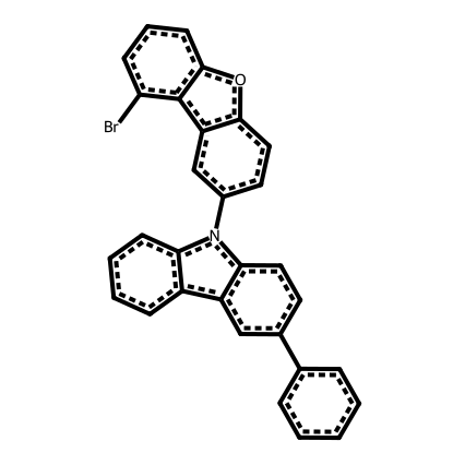 Brc1cccc2oc3ccc(-n4c5ccccc5c5cc(-c6ccccc6)ccc54)cc3c12